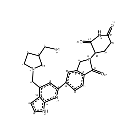 CC(C)CC1CCN(Cc2cc(-c3ccc4c(c3)CN(C3CCC(=O)NC3=O)C4=O)nc3[nH]ccc23)C1